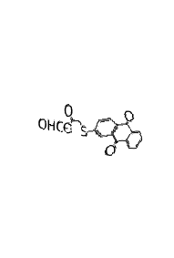 O=COC(=O)CSc1ccc2c(c1)C(=O)c1ccccc1C2=O